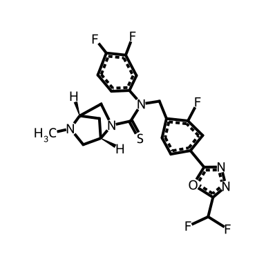 CN1C[C@@H]2C[C@H]1CN2C(=S)N(Cc1ccc(-c2nnc(C(F)F)o2)cc1F)c1ccc(F)c(F)c1